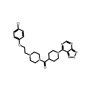 O=C(C1CCN(c2ncnc3nsnc23)CC1)N1CCN(CCOc2ccc(Cl)cc2)CC1